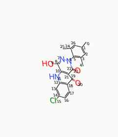 Cc1cc(C)c(-n2nc(O)c3[nH]c4cc(Cl)ccc4c(=O)c3c2=O)c(C)c1